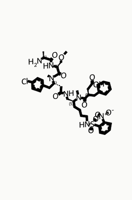 COC[C@H](NC(=O)[C@H](C)N)C(=O)N(C)[C@H](CC(=O)NC[C@H](CCCCNS(=O)(=O)c1ccccc1[N+](=O)[O-])N(C)C(=O)[C@@H](CC(=O)O)Cc1ccccc1)Cc1ccc(Cl)cc1